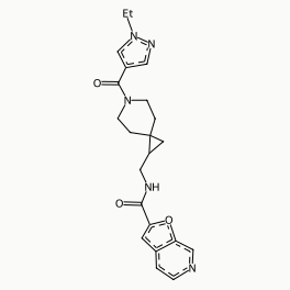 CCn1cc(C(=O)N2CCC3(CC2)CC3CNC(=O)c2cc3ccncc3o2)cn1